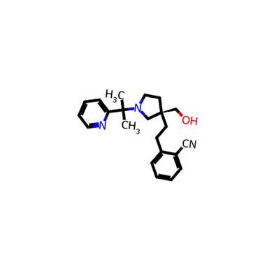 CC(C)(c1ccccn1)N1CC[C@](CO)(CCc2ccccc2C#N)C1